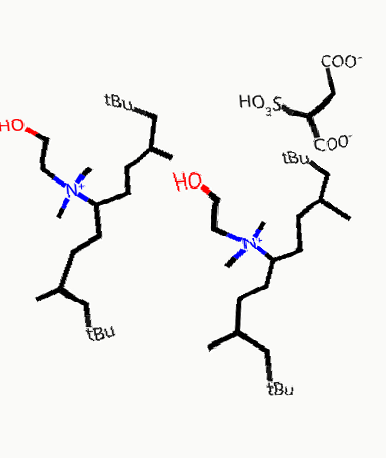 CC(CCC(CCC(C)CC(C)(C)C)[N+](C)(C)CCO)CC(C)(C)C.CC(CCC(CCC(C)CC(C)(C)C)[N+](C)(C)CCO)CC(C)(C)C.O=C([O-])CC(C(=O)[O-])S(=O)(=O)O